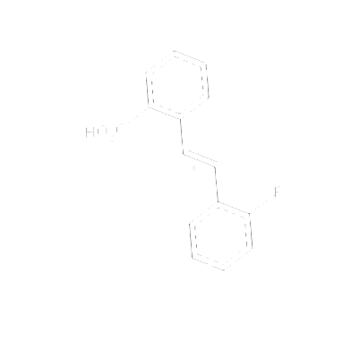 O=C(O)c1ccccc1/C=C/c1ccccc1F